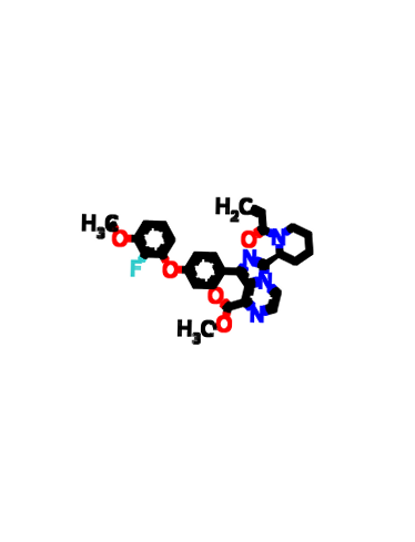 C=CC(=O)N1CCCC[C@H]1c1nc(-c2ccc(Oc3cccc(OC)c3F)cc2)c2c(C(=O)OC)nccn12